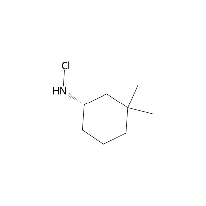 CC1(C)CCC[C@H](NCl)C1